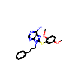 COc1ccc(OC)c(Sc2nc3c(N)ncnc3n2CCCc2ccccc2)c1